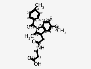 COc1cc2c(CC(=O)NCCC(=O)O)c(C)n(C(=O)c3ccc(C)cc3)c2cc1F